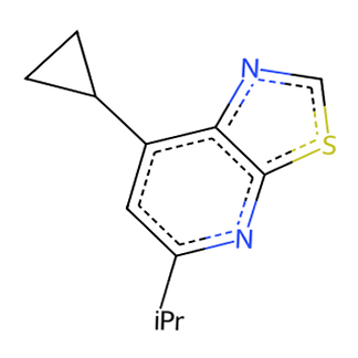 CC(C)c1cc(C2CC2)c2ncsc2n1